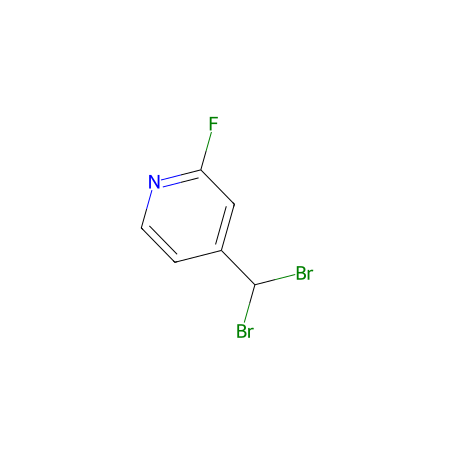 Fc1cc(C(Br)Br)ccn1